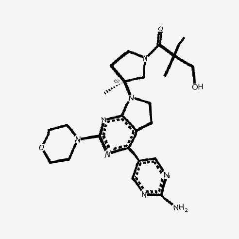 CC(C)(CO)C(=O)N1CC[C@](C)(N2CCc3c(-c4cnc(N)nc4)nc(N4CCOCC4)nc32)C1